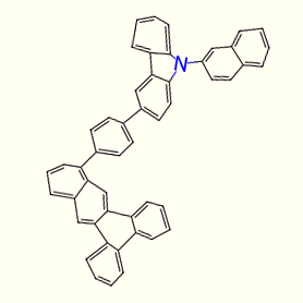 c1ccc2cc(-n3c4ccccc4c4cc(-c5ccc(-c6cccc7cc8c9ccccc9c9ccccc9c8cc67)cc5)ccc43)ccc2c1